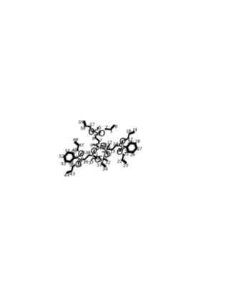 C=CCO[Si](C)(CC[Si]1(C)O[Si](C)(CC[Si](OCC=C)(OCC=C)c2ccccc2)O[Si](C)(C=C)O[Si](C)(CC[Si](OCC=C)(OCC=C)c2ccccc2)O1)OCC=C